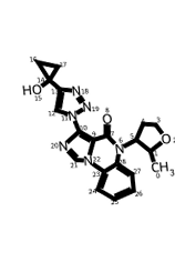 CC1OCCC1n1c(=O)c2c(-n3cc(C4(O)CC4)nn3)ncn2c2ccccc21